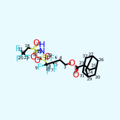 O=C(OCCC(F)(F)C(F)(F)S(=O)(=O)NS(=O)(=O)CC(F)(F)F)C12CC3CC(CC(C3)C1)C2